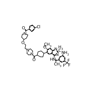 COc1cc2nc(C)nc(N[C@H](C)c3cc(N)cc(C(F)(F)F)c3)c2cc1C1CCC(C(=O)N2CCN(CCOC3CCN(C(=O)c4ccc(Cl)cc4)CC3)CC2)CC1